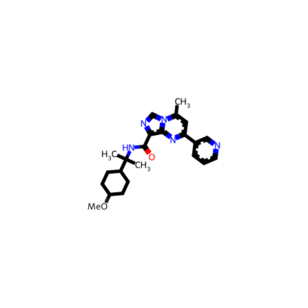 COC1CCC(C(C)(C)NC(=O)c2ncn3c(C)cc(-c4cccnc4)nc23)CC1